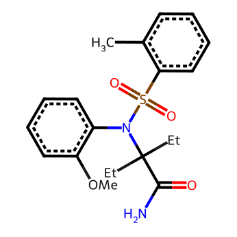 CCC(CC)(C(N)=O)N(c1ccccc1OC)S(=O)(=O)c1ccccc1C